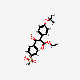 CCOC(=O)C(C(=O)c1ccc(S(C)(=O)=O)cc1)c1ccc(OC(C)C)cc1